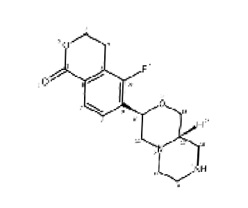 O=C1OCCc2c1ccc([C@@H]1CN3CCNC[C@H]3CO1)c2F